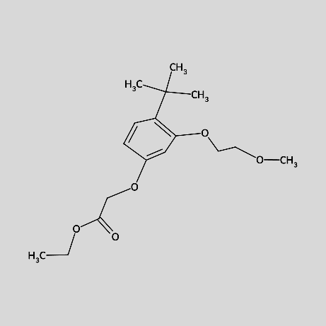 CCOC(=O)COc1ccc(C(C)(C)C)c(OCCOC)c1